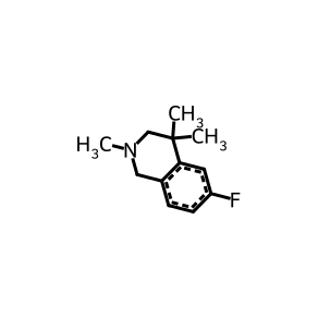 CN1Cc2ccc(F)cc2C(C)(C)C1